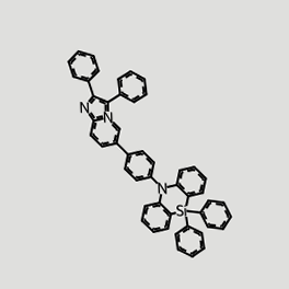 c1ccc(-c2nc3ccc(-c4ccc(N5c6ccccc6[Si](c6ccccc6)(c6ccccc6)c6ccccc65)cc4)cn3c2-c2ccccc2)cc1